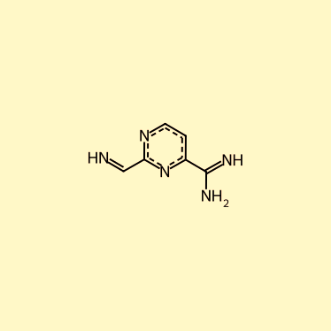 N=Cc1nccc(C(=N)N)n1